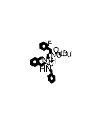 CC(C)(C)OC(=O)N[C@@H](CC(=O)N1Cc2ccccc2C[C@H]1C(=O)NCc1ccccc1)Cc1ccccc1F